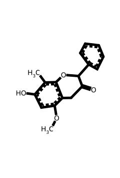 COc1cc(O)c(C)c2c1CC(=O)C(c1ccccc1)O2